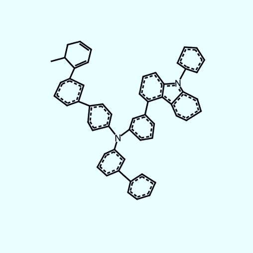 CC1CC=CC=C1c1cccc(-c2ccc(N(c3cccc(-c4ccccc4)c3)c3cccc(-c4cccc5c4c4ccccc4n5-c4ccccc4)c3)cc2)c1